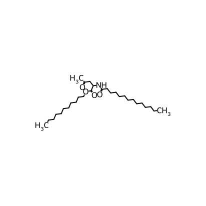 CCCCCCCCCCCCCC(=O)NC(CC(C)=O)C(=O)OCCCCCCCCCCC